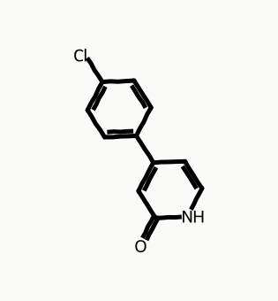 O=c1cc(-c2ccc(Cl)cc2)cc[nH]1